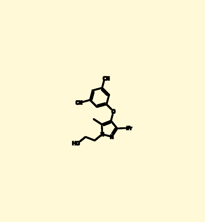 [C-]#[N+]c1cc(C#N)cc(Oc2c(C(C)C)nn(CCO)c2C)c1